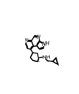 [CH]1CCC(c2ccnc3cnc4[nH]ccc4c23)CC1NCC1CC1